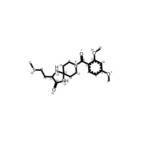 COc1ccc(C(=O)N2CCC3(CC2)NC(=O)C(CCSC)N3)c(OC)c1